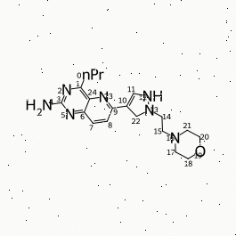 CCCc1nc(N)nc2ccc(C3=CNN(CCN4CCOCC4)C3)nc12